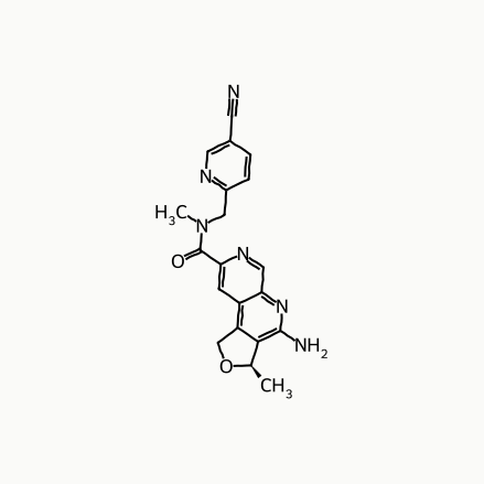 C[C@H]1OCc2c1c(N)nc1cnc(C(=O)N(C)Cc3ccc(C#N)cn3)cc21